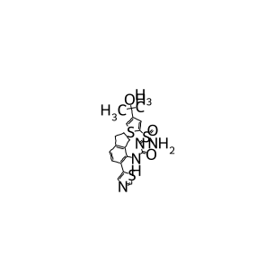 CC(C)(O)c1csc(S(N)(=O)=NC(=O)Nc2c(-c3cncs3)ccc3c2CCC3)c1